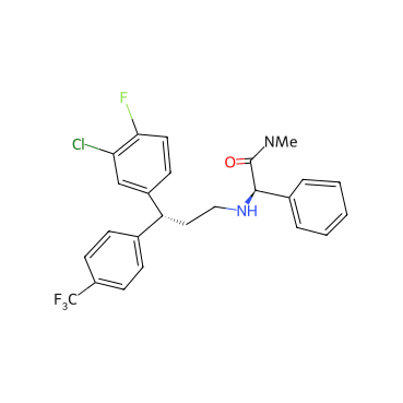 CNC(=O)[C@H](NCC[C@H](c1ccc(C(F)(F)F)cc1)c1ccc(F)c(Cl)c1)c1ccccc1